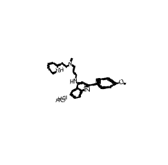 COc1ccc(-c2cc(NCCCN(C)CCC3CCCCN3)c3ccccc3n2)cc1.Cl.Cl